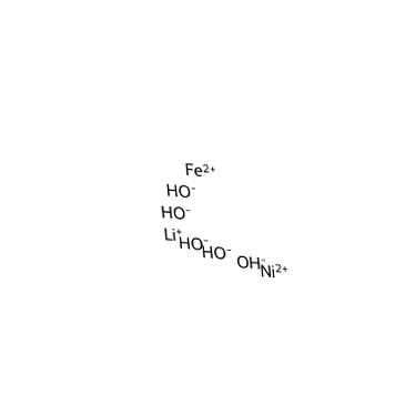 [Fe+2].[Li+].[Ni+2].[OH-].[OH-].[OH-].[OH-].[OH-]